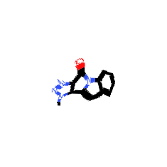 CN1N=NC2C(=O)n3c(cc4ccccc43)C21